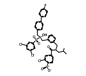 CC(C)CN(Cc1cccc(C[N+](O)(Cc2ccc(-c3ccc(F)cc3)cc2)S(=O)(=O)c2cc(Cl)cc(Cl)c2)c1)C(=O)c1ccc([N+](=O)[O-])c(Cl)c1